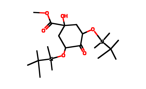 COC(=O)C1(O)CC(O[Si](C)(C)C(C)(C)C)C(=O)C(O[Si](C)(C)C(C)(C)C)C1